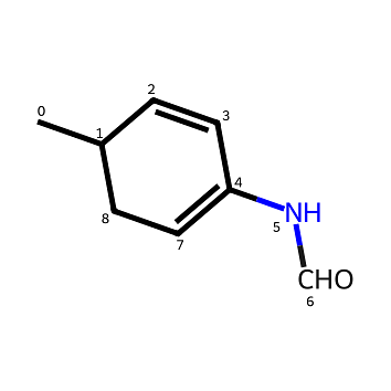 CC1C=CC(NC=O)=CC1